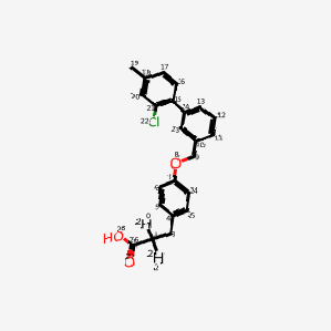 [2H]C([2H])(Cc1ccc(OCc2cccc(-c3ccc(C)cc3Cl)c2)cc1)C(=O)O